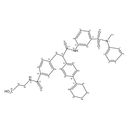 CN(c1ccccc1)S(=O)(=O)c1cccc(NC(=O)C(Cc2ccc(C(=O)NCCC(=O)O)cc2)c2ccc(C3=CCCCC3)cc2)c1